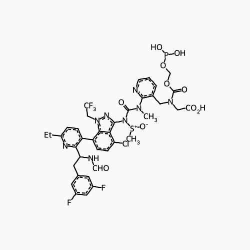 CCc1ccc(-c2ccc(Cl)c3c(N(C(=O)N(C)c4ncccc4CN(CC(=O)O)C(=O)OCOP(O)O)[S+](C)[O-])nn(CC(F)(F)F)c23)c(C(Cc2cc(F)cc(F)c2)NC=O)n1